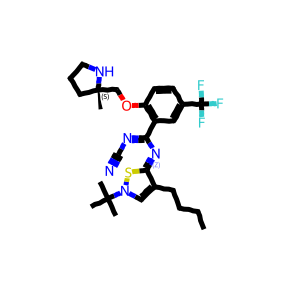 CCCCc1cn(C(C)(C)C)s/c1=N\C(=NC#N)c1cc(C(F)(F)F)ccc1OC[C@]1(C)CCCN1